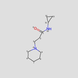 O=C(CCN1CCCCC1)NC1CC1